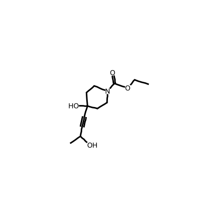 CCOC(=O)N1CCC(O)(C#CC(C)O)CC1